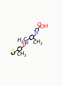 CCc1cc(C(C)=NOCc2ccc(-c3cccs3)c(C)c2)ccc1CN1CCC(C(=O)O)C1